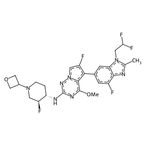 COc1nc(N[C@H]2CCN(C3COC3)C[C@@H]2F)nn2cc(F)c(-c3cc(F)c4nc(C)n(CC(F)F)c4c3)c12